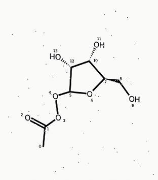 CC(=O)OOC1O[C@H](CO)[C@@H](O)[C@H]1O